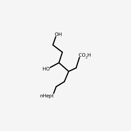 CCCCCCCCCC(CC(=O)O)C(O)CCO